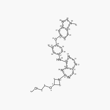 COCCOC1CN(c2ncc3ncnc(Nc4ccc(Oc5ccc6c(c5)ncn6C)c(C)c4)c3n2)C1